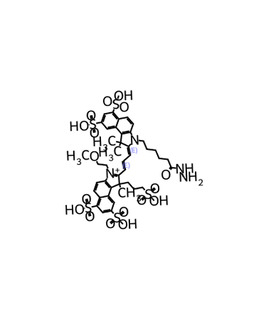 COCC[N+]1=C(/C=C/C=C2/N(CCCCCC(=O)NN)c3ccc4c(S(=O)(=O)O)cc(S(=O)(=O)O)cc4c3C2(C)C)C(C)(CCCS(=O)(=O)O)c2c1ccc1c(S(=O)(=O)O)cc(S(=O)(=O)O)cc21